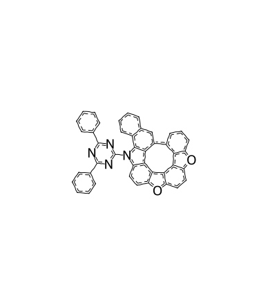 c1ccc(-c2nc(-c3ccccc3)nc(-n3c4ccc5oc6ccc7oc8cccc9c%10cc%11ccccc%11c3c%10c4c5c6c7c89)n2)cc1